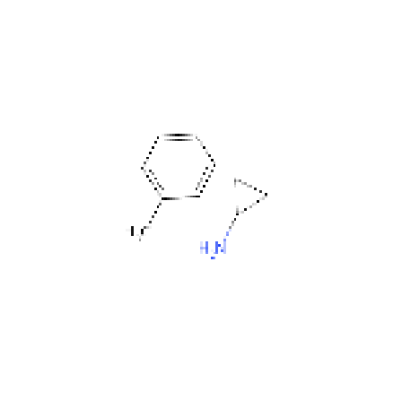 Cc1ccccc1.NC1CC1